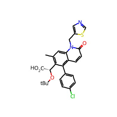 Cc1cc2c(ccc(=O)n2Cc2cncs2)c(-c2ccc(Cl)cc2)c1[C@H](OC(C)(C)C)C(=O)O